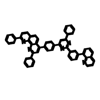 c1ccc(-c2cc(-c3ccc(-c4cc(-c5ccccc5)nc5c4ccc4ccc(-c6ccccc6)nc45)cc3)nc(-c3cccc(-c4cccc5cccnc45)c3)n2)cc1